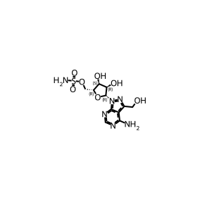 Nc1ncnc2c1c(CO)nn2[C@@H]1O[C@H](COS(N)(=O)=O)[C@@H](O)[C@H]1O